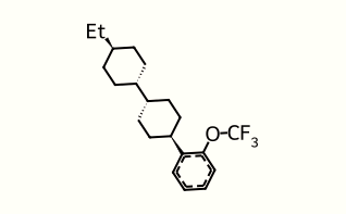 CC[C@H]1CC[C@H]([C@H]2CC[C@H](c3ccccc3OC(F)(F)F)CC2)CC1